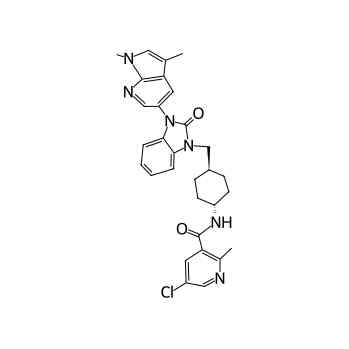 Cc1ncc(Cl)cc1C(=O)N[C@H]1CC[C@H](Cn2c(=O)n(-c3cnc4c(c3)c(C)cn4C)c3ccccc32)CC1